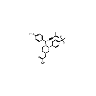 C=C(C)C#C[C@@H](c1ccc(O)cc1)N1CC[C@H](CC(=O)O)C[C@@H]1c1ccc(C(F)(F)F)cc1